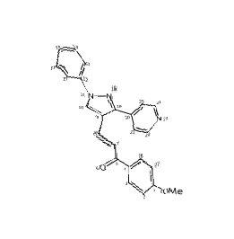 COc1ccc(C(=O)C=Cc2cn(-c3ccccc3)nc2-c2ccncc2)cc1